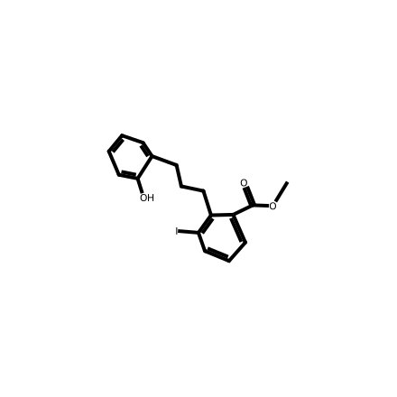 COC(=O)c1cccc(I)c1CCCc1ccccc1O